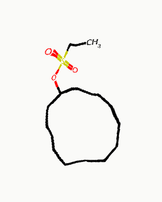 CCS(=O)(=O)OC1CCCCCCCCCCC1